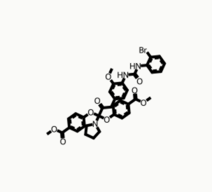 COC(=O)c1ccc(OC(Oc2ccc(C(=O)OC)cc2)(C(=O)Cc2ccc(NC(=O)Nc3ccccc3Br)c(OC)c2)N2CCCC2)cc1